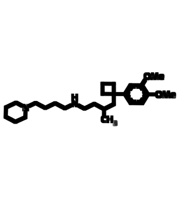 COc1ccc(C2(CC(C)CCNCCCCN3CCCCC3)CCC2)cc1OC